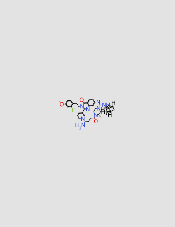 COc1ccc(CCn2c(-c3cccnc3)nc3cc(N=C(N[C@H]4C[C@H]5C[C@H]([C@H]4C)C5(C)C)N4CCN(C(=O)CCCN)[C@@H](C)C4)ccc3c2=O)c(F)c1